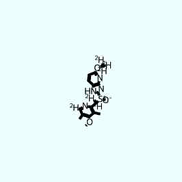 [2H]c1nc(C([2H])([2H])[S+]([O-])c2nc3nc(OC([2H])([2H])[2H])ccc3[nH]2)c(C)c(OC)c1C